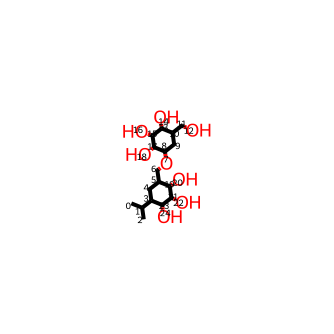 CC(C)C1CC(COC2CC(CO)C(O)C(O)C2O)C(O)C(O)C1O